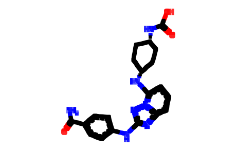 NC(=O)c1ccc(Nc2nc3cccc(N[C@H]4CC[C@@H](NC(=O)O)CC4)n3n2)cc1